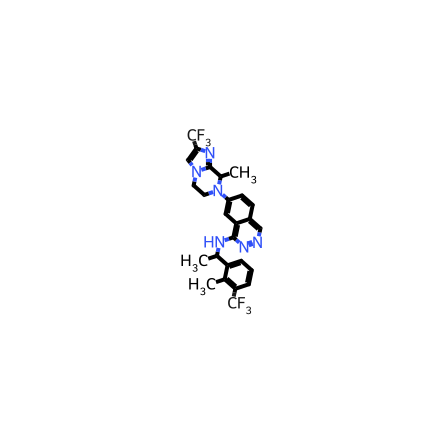 Cc1c(C(C)Nc2nncc3ccc(N4CCn5cc(C(F)(F)F)nc5C4C)cc23)cccc1C(F)(F)F